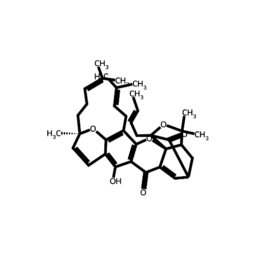 C/C=C/CC12OC(C)(C)C3CC(C=C4C(=O)c5c(O)c6c(c(CC=C(C)C)c5OC431)O[C@](C)(CCC=C(C)C)C=C6)C2=O